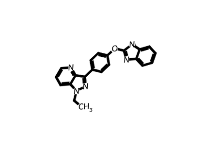 CCn1nc(-c2ccc(OC3=Nc4ccccc4[N]3)cc2)c2ncccc21